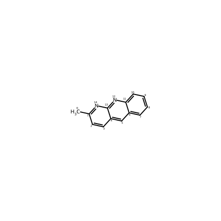 Cc1ccc2cc3ccccc3nc2n1